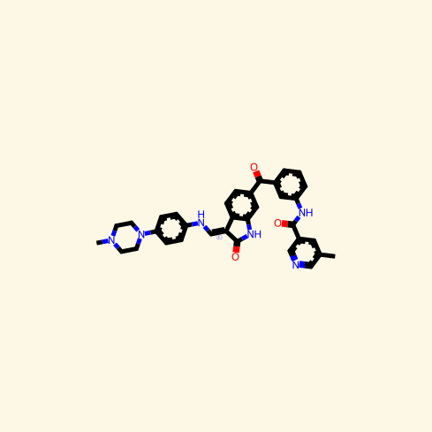 Cc1cncc(C(=O)Nc2cccc(C(=O)c3ccc4c(c3)NC(=O)/C4=C/Nc3ccc(N4CCN(C)CC4)cc3)c2)c1